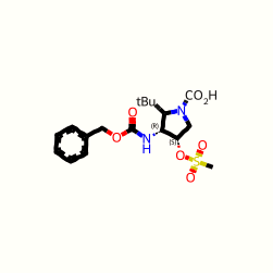 CC(C)(C)C1[C@@H](NC(=O)OCc2ccccc2)[C@@H](OS(C)(=O)=O)CN1C(=O)O